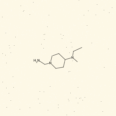 CCN(C)C1CCN(CN)CC1